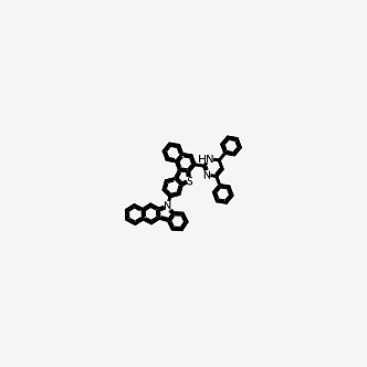 C1=C(c2ccccc2)N=C(c2cc3ccccc3c3c2sc2cc(-n4c5ccccc5c5cc6ccccc6cc54)ccc23)NC1c1ccccc1